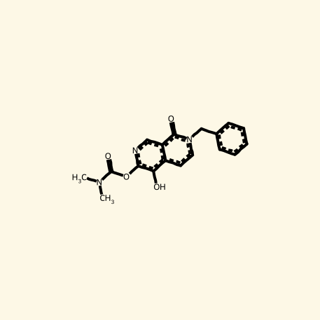 CN(C)C(=O)Oc1ncc2c(=O)n(Cc3ccccc3)ccc2c1O